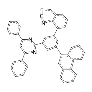 c1ccc(-c2cc(-c3ccccc3)nc(-c3cc(-c4cc5ccccc5c5ccccc45)cc(-c4cccc5cccnc45)c3)n2)cc1